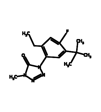 CCc1cc(F)c(C(C)(C)C)cc1-n1nnn(C)c1=O